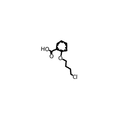 O=C(O)c1ccccc1OCCCCCl